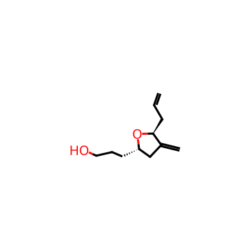 C=CC[C@@H]1O[C@@H](CCCO)CC1=C